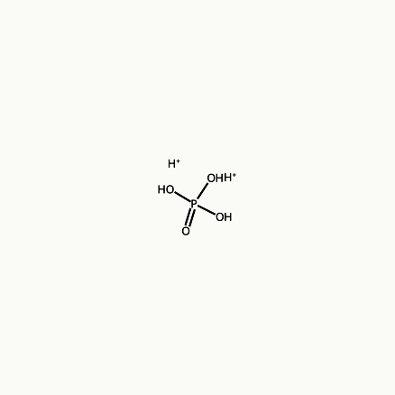 O=P(O)(O)O.[H+].[H+]